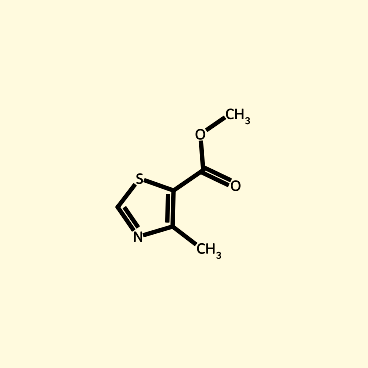 COC(=O)c1scnc1C